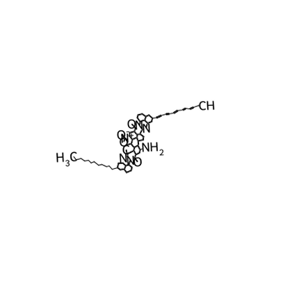 C#CC#CC#CC#CC#CC#Cc1cc2cccc3c2c(c1)nc1c2ccc4c5c(N)cc6c(=O)n7c8cccc9cc(CCCCCCCCCCCC)cc(nc7c7ccc(c%10c([N+](=O)[O-])cc(c(=O)n31)c2c4%10)c5c67)c98